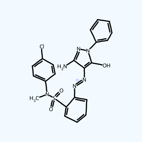 CN(c1ccc(Cl)cc1)S(=O)(=O)c1ccccc1/N=N/c1c(N)nn(-c2ccccc2)c1O